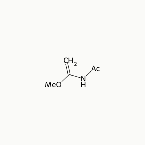 C=C(NC(C)=O)OC